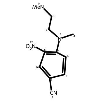 CNCCN(C)c1ccc(C#N)cc1[N+](=O)[O-]